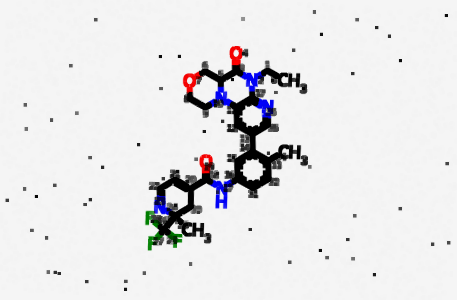 CCN1C(=O)C2COCCN2c2cc(-c3cc(NC(=O)C4=CC=N[C@@](C)(C(F)(F)F)C4)ccc3C)cnc21